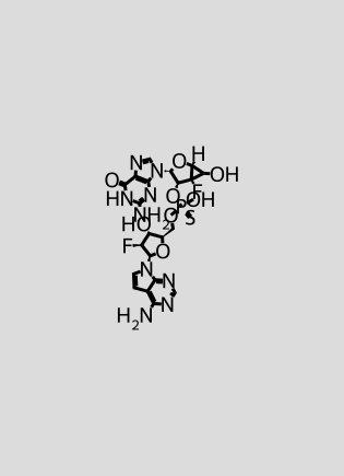 Nc1nc2c(ncn2[C@@H]2O[C@@H]3C(O)[C@]3(F)[C@H]2OP(O)(=S)OC[C@H]2O[C@@H](n3ccc4c(N)ncnc43)[C@@H](F)[C@@H]2O)c(=O)[nH]1